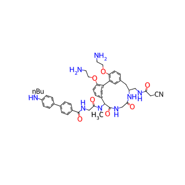 CCCCNc1ccc(-c2ccc(C(=O)NCC(=O)N(C)C3C(=O)NCC(=O)NC(CNC(=O)CC#N)Cc4ccc(OCCN)c(c4)-c4cc3ccc4OCCN)cc2)cc1